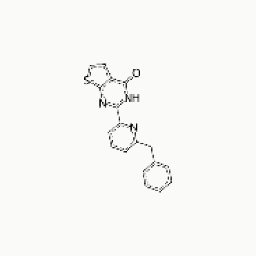 O=c1[nH]c(-c2cccc(Cc3ccccc3)n2)nc2sccc12